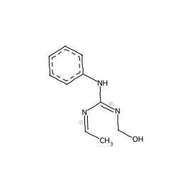 C/C=N\C(=N/CO)Nc1ccccc1